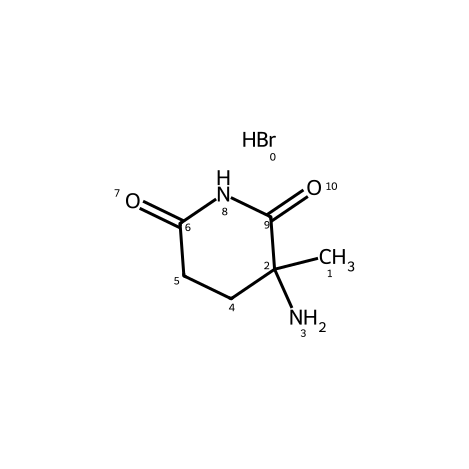 Br.CC1(N)CCC(=O)NC1=O